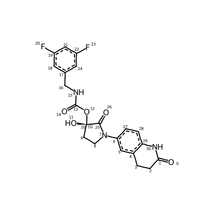 O=C1CCc2cc(N3CC[C@](O)(OC(=O)NCc4cc(F)cc(F)c4)C3=O)ccc2N1